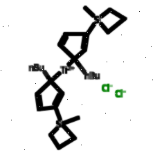 CCCC[C]1([Ti+2][C]2(CCCC)C=CC([Si]3(C)CCC3)=C2)C=CC([Si]2(C)CCC2)=C1.[Cl-].[Cl-]